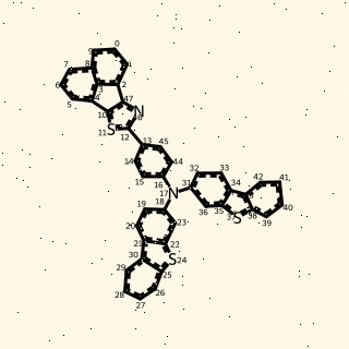 c1cc2c3c(cccc3c1)-c1sc(-c3ccc(N(c4ccc5c(c4)sc4ccccc45)c4ccc5c(c4)sc4ccccc45)cc3)nc1-2